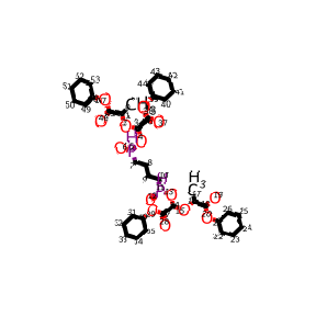 CC(OC(O[PH](=O)CCCC[PH](=O)OC(OC(C)C(=O)OC1CCCCC1)C(=O)OC1CCCCC1)C(=O)OC1CCCCC1)C(=O)OC1CCCCC1